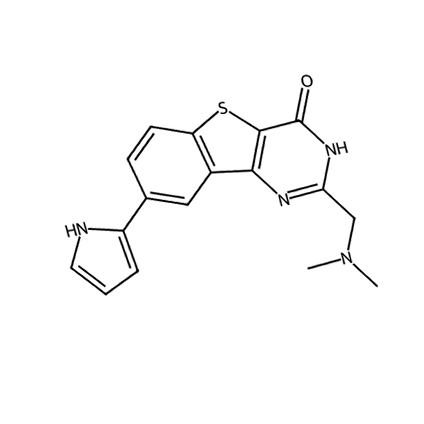 CN(C)Cc1nc2c(sc3ccc(-c4ccc[nH]4)cc32)c(=O)[nH]1